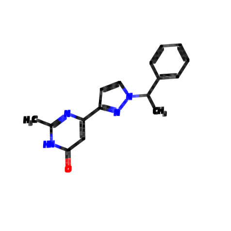 Cc1nc(-c2ccn(C(C)c3ccccc3)n2)cc(=O)[nH]1